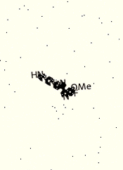 COc1cc2c(-c3cnn4cc(N5CCC(N6CCNC6)CC5)ccc34)ccnc2cc1F